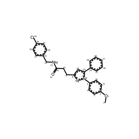 COc1ccc(-n2nc(CCC(=O)NCc3ccc(Cl)cc3)cc2-c2ccccc2)cc1